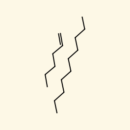 C=CCCCC.CCCCCCCCCC